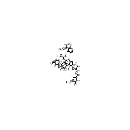 C[C@@H](COc1ccnc2c1[C@H](C)CCC2)C[C@H]1Cc2cc3c(cc2C12CCC(Nc1cccc(Cl)c1)(C(=O)O)CC2)O[C@H](COCC1CC(=O)N(C)C1)CO3